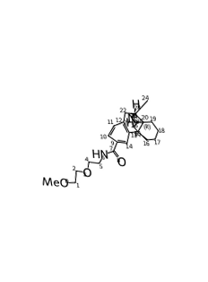 COCCOCCNC(=O)c1ccc2c(c1)[C@@]13CCCC[C@H]1[C@@H](C2)N(C)CC3